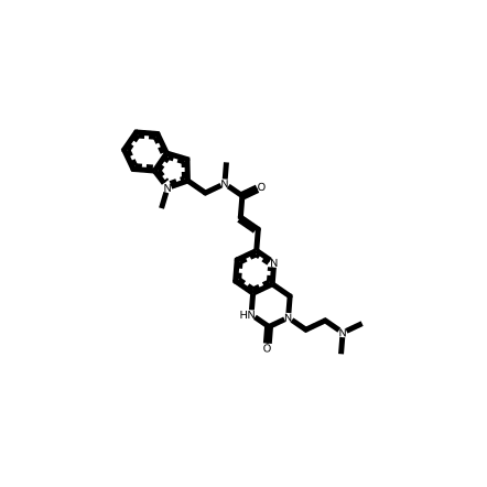 CN(C)CCN1Cc2nc(/C=C/C(=O)N(C)Cc3cc4ccccc4n3C)ccc2NC1=O